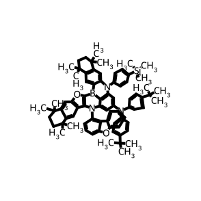 CC(C)(C)c1ccc(N(c2ccc(C(C)(C)C)cc2)c2cc3c4c(c2)N(c2cccc5oc6ccccc6c25)c2c(oc5cc6c(cc25)C(C)(C)CCC6(C)C)B4c2cc4c(cc2N3c2ccc([Si](C)(C)C)cc2)C(C)(C)CCC4(C)C)cc1